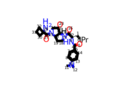 CC(C)C[C@H](NC(=O)c1ccc(N(C)C)cc1)C(=O)N1CCC2[C@H]1C(=O)CN2C(=O)C1(N)CCC1